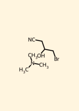 CN(C)C.N#CCC(O)CBr